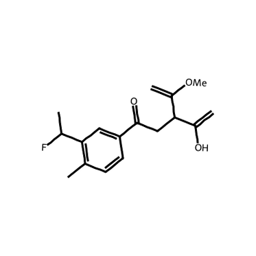 C=C(O)C(CC(=O)c1ccc(C)c(C(C)F)c1)C(=C)OC